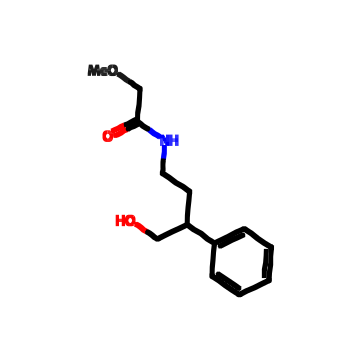 COCC(=O)NCCC(CO)c1ccccc1